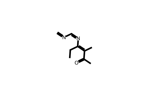 C=N/C=N\C(CC)=C(/C)C(C)=O